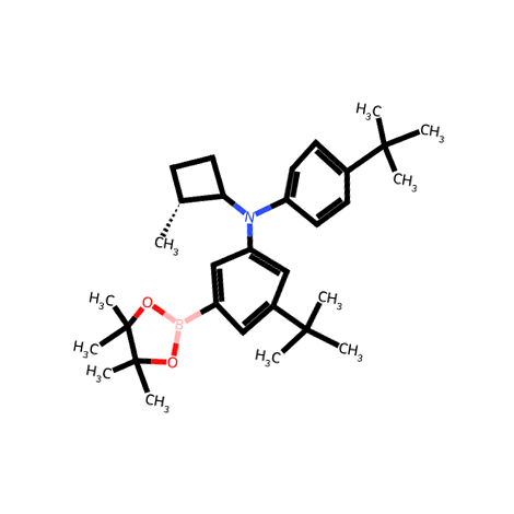 C[C@@H]1CCC1N(c1ccc(C(C)(C)C)cc1)c1cc(B2OC(C)(C)C(C)(C)O2)cc(C(C)(C)C)c1